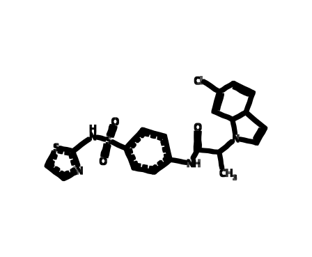 CC(C(=O)Nc1ccc(S(=O)(=O)Nc2nccs2)cc1)N1C=CC2C=CC(Cl)=CC21